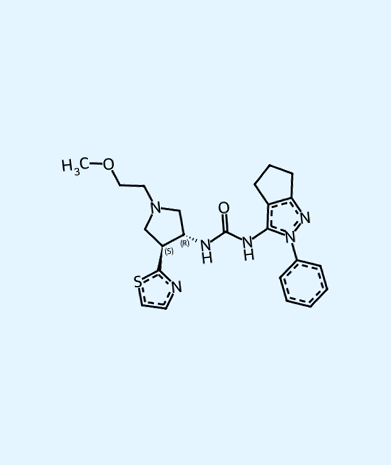 COCCN1C[C@H](NC(=O)Nc2c3c(nn2-c2ccccc2)CCC3)[C@@H](c2nccs2)C1